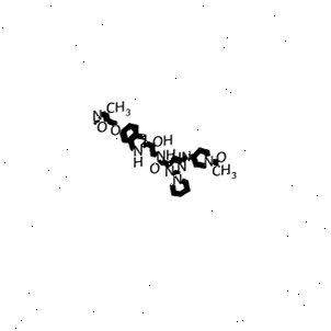 CC(=O)N1CCC(Nc2cc(C(=O)NC[C@@H](O)[C@@H]3Cc4ccc(OCc5ocnc5C)cc4CN3)nc(N3CCCCC3)n2)CC1